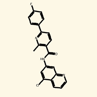 Cc1nc(-c2ccc(F)cc2)ccc1C(=O)Nc1cc(Cl)c2cccnc2c1